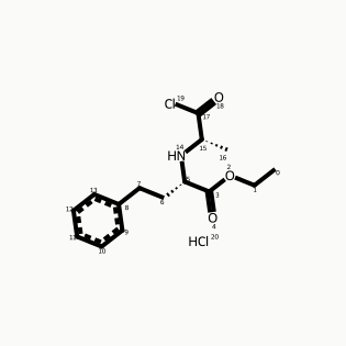 CCOC(=O)[C@H](CCc1ccccc1)N[C@@H](C)C(=O)Cl.Cl